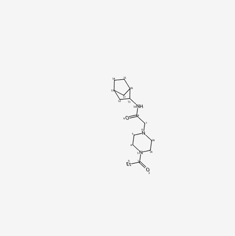 CCC(=O)N1CCN(CC(=O)NC2CC3CCC2C3)CC1